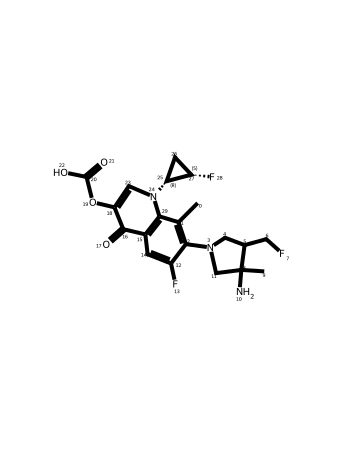 Cc1c(N2CC(CF)C(C)(N)C2)c(F)cc2c(=O)c(OC(=O)O)cn([C@@H]3C[C@@H]3F)c12